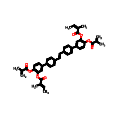 C=C(C)C(=O)Oc1ccc(-c2ccc(/C=C/c3ccc(-c4ccc(OC(=O)C(=C)C)c(OC(=O)/C(C)=C/C)c4)cc3)cc2)cc1OC(=O)/C(C)=C\C